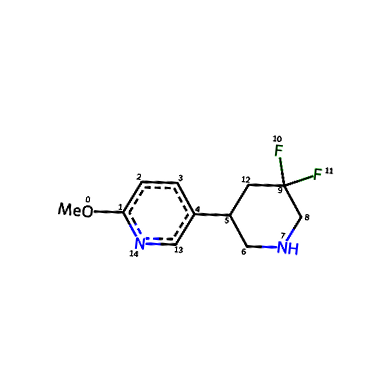 COc1ccc(C2CNCC(F)(F)C2)cn1